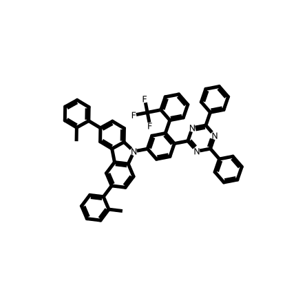 Cc1ccccc1-c1ccc2c(c1)c1cc(-c3ccccc3C)ccc1n2-c1ccc(-c2nc(-c3ccccc3)nc(-c3ccccc3)n2)c(-c2ccccc2C(F)(F)F)c1